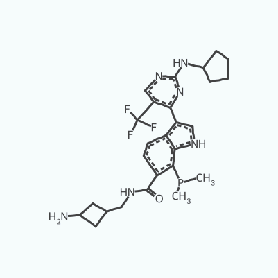 CP(C)c1c(C(=O)NCC2CC(N)C2)ccc2c(-c3nc(NC4CCCC4)ncc3C(F)(F)F)c[nH]c12